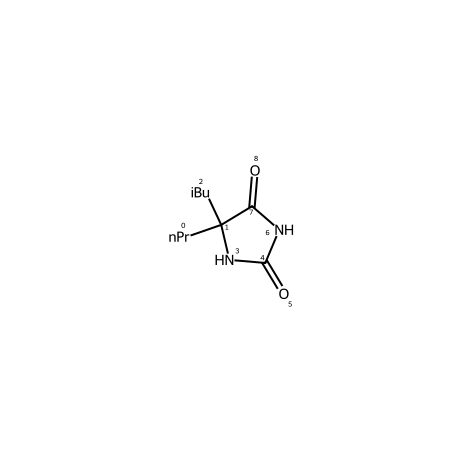 CCCC1(C(C)CC)NC(=O)NC1=O